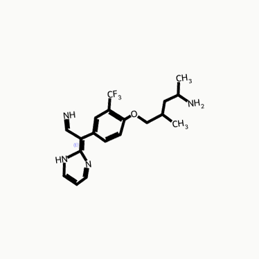 CC(N)CC(C)COc1ccc(/C(C=N)=C2\N=CC=CN2)cc1C(F)(F)F